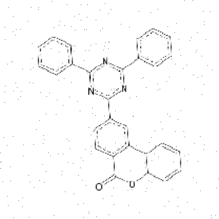 O=C1OC2C=CC=CC2c2cc(-c3nc(-c4ccccc4)nc(-c4ccccc4)n3)ccc21